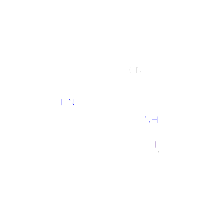 N#CC1=C(NI)CCNC1